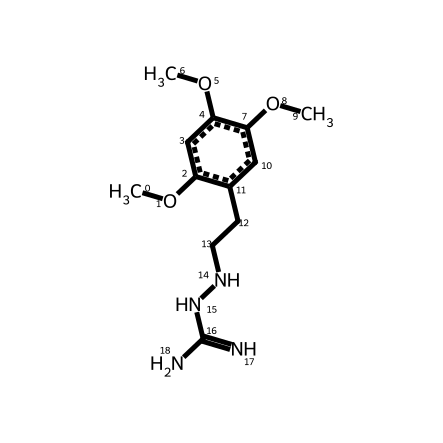 COc1cc(OC)c(OC)cc1CCNNC(=N)N